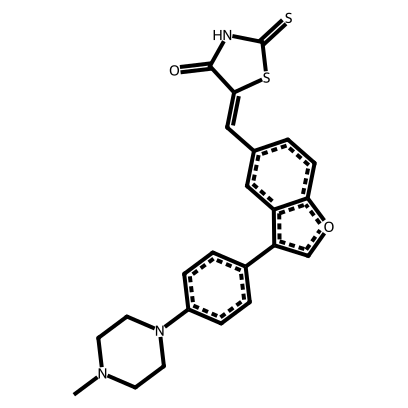 CN1CCN(c2ccc(-c3coc4ccc(/C=C5\SC(=S)NC5=O)cc34)cc2)CC1